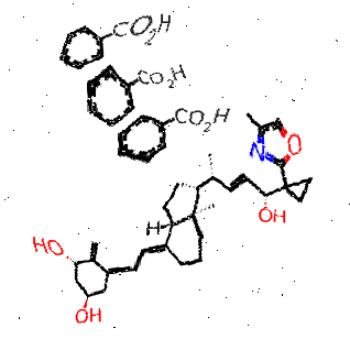 C=C1/C(=C\C=C2/CCC[C@]3(C)[C@@H]([C@H](C)/C=C/[C@@H](O)C4(c5nc(C)co5)CC4)CC[C@@H]23)C[C@@H](O)C[C@@H]1O.O=C(O)c1ccccc1.O=C(O)c1ccccc1.O=C(O)c1ccccc1